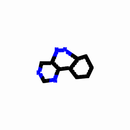 c1ccc2c(c1)nnc1cncnc12